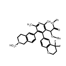 Cc1nc(C)c(C(OC(C)(C)C)C(=O)OC(C)C)c(-c2ccc3c(c2)C(F)(F)CCO3)c1-c1ccc2c(c1)CCN(C(=O)O)C2